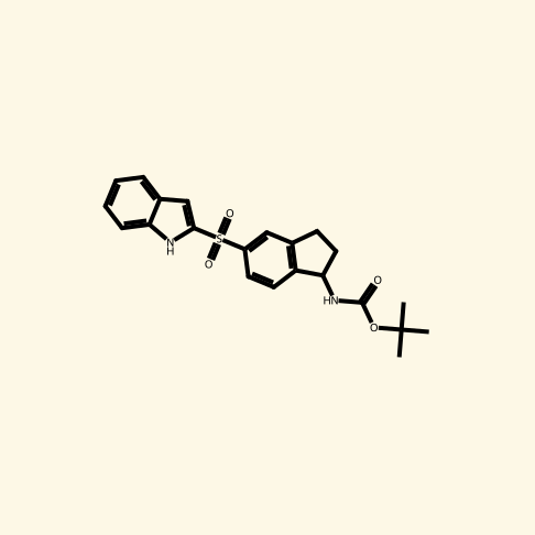 CC(C)(C)OC(=O)NC1CCc2cc(S(=O)(=O)c3cc4ccccc4[nH]3)ccc21